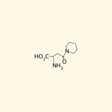 NC(CC(=O)N1CCCCC1)C(=O)O